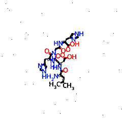 CC(C)C[C@H](N)C(=O)N[C@@H](CC(=O)O)C(=O)N[C@@H](Cc1c[nH]cn1)C(=O)NCC(=O)N[C@@H](Cc1c[nH]cn1)C(=O)O